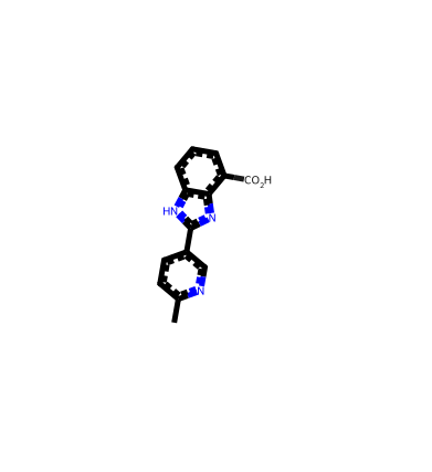 Cc1ccc(-c2nc3c(C(=O)O)cccc3[nH]2)cn1